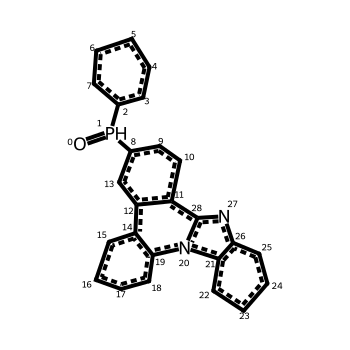 O=[PH](c1ccccc1)c1ccc2c(c1)c1ccccc1n1c3ccccc3nc21